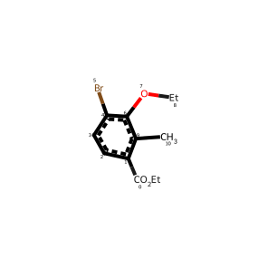 CCOC(=O)c1ccc(Br)c(OCC)c1C